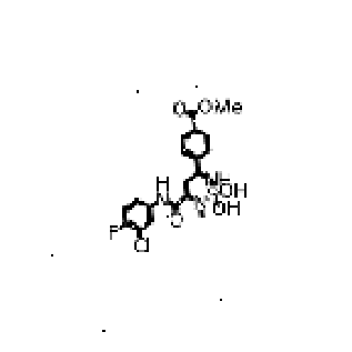 COC(=O)c1ccc(C2CC(C(=O)Nc3ccc(F)c(Cl)c3)N(C)S(O)(O)N2)cc1